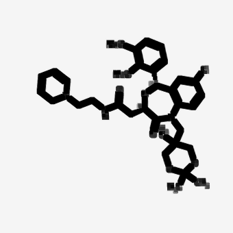 COc1cccc([C@H]2O[C@H](CC(=O)NCCN3C=CC=CC3)C(=O)N(CC3(C)COC(C)(C)OC3)c3ccc(Cl)cc32)c1OC